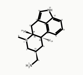 CN1C[C@H](CN)C[C@@H]2c3cccc4[nH]cc(c34)C[C@H]21